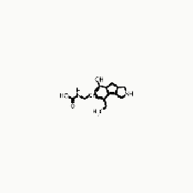 CCC1=CC=C(O)C2CC3CNCC3=C12.CCNC(=O)O